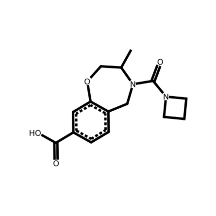 CC1COc2cc(C(=O)O)ccc2CN1C(=O)N1CCC1